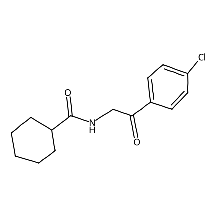 O=C(CNC(=O)C1CCCCC1)c1ccc(Cl)cc1